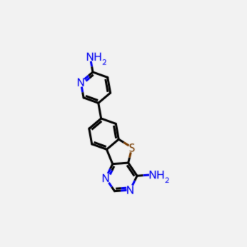 Nc1ccc(-c2ccc3c(c2)sc2c(N)ncnc23)cn1